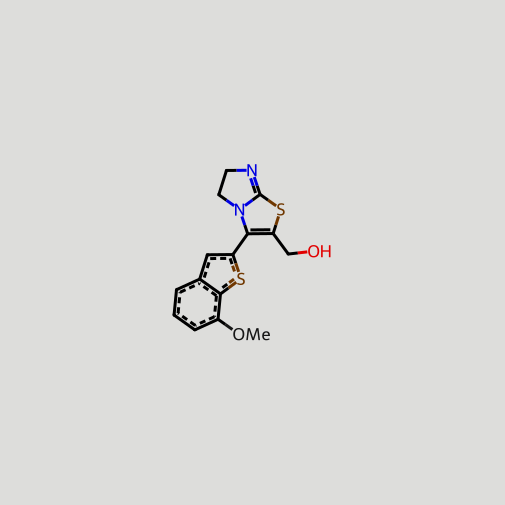 COc1cccc2cc(C3=C(CO)SC4=NCCN43)sc12